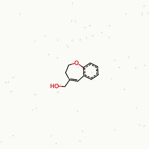 OCC1=Cc2ccccc2OCC1